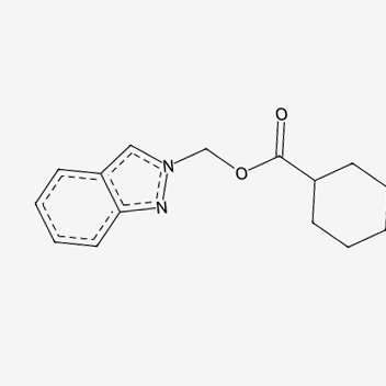 O=C(OCn1cc2ccccc2n1)C1CCCCC1